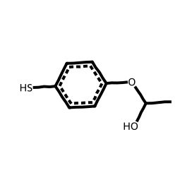 CC(O)Oc1ccc(S)cc1